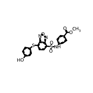 COC(=O)c1ccc(NS(=O)(=O)c2ccc(Sc3ccc(O)cc3)c3nonc23)cc1